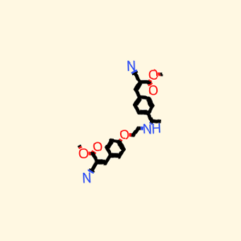 COC(=O)C(C#N)=Cc1ccc(OCCNC(C)c2ccc(C=C(C#N)C(=O)OC)cc2)cc1